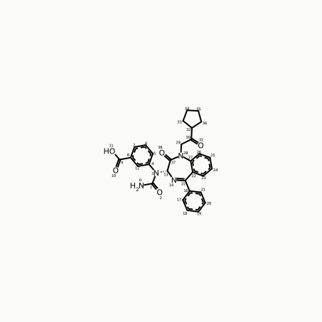 NC(=O)N(c1cccc(C(=O)O)c1)[C@H]1N=C(c2ccccc2)c2ccccc2N(CC(=O)C2CCCC2)C1=O